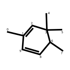 CC1=CC(C)(C)C(C)C=C1